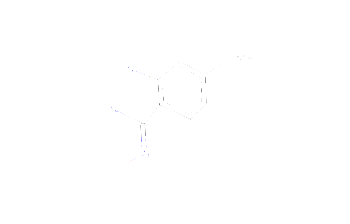 COc1ccc(C(N)=NO)c(N)c1